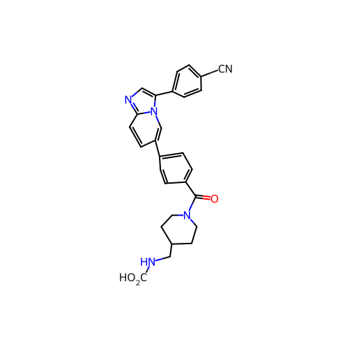 N#Cc1ccc(-c2cnc3ccc(-c4ccc(C(=O)N5CCC(CNC(=O)O)CC5)cc4)cn23)cc1